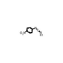 CCN=C=Nc1ccc([N+](=O)[O-])cc1